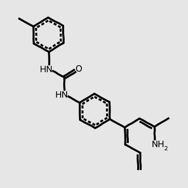 C=C/C=C(\C=C(\C)N)c1ccc(NC(=O)Nc2cccc(C)c2)cc1